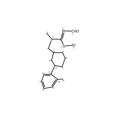 CCO/C(=N\C=O)N(C)CC1CCCC(c2ccccc2C)C1